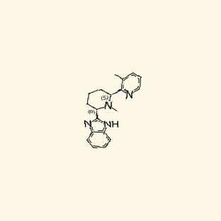 Cc1cccnc1[C@@H]1CCC[C@H](c2nc3ccccc3[nH]2)N1C